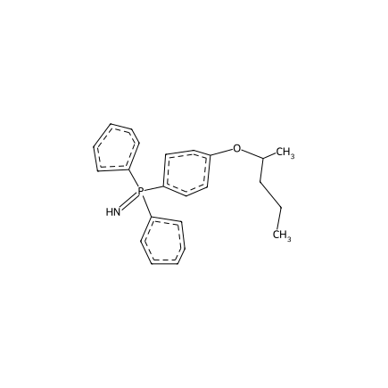 CCCC(C)Oc1ccc(P(=N)(c2ccccc2)c2ccccc2)cc1